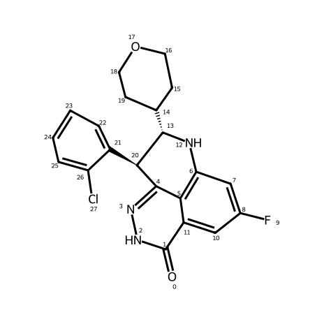 O=c1[nH]nc2c3c(cc(F)cc13)N[C@@H](C1CCOCC1)[C@@H]2c1ccccc1Cl